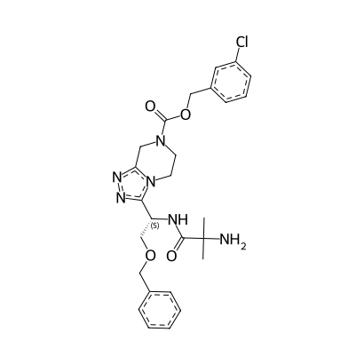 CC(C)(N)C(=O)N[C@H](COCc1ccccc1)c1nnc2n1CCN(C(=O)OCc1cccc(Cl)c1)C2